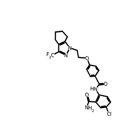 NC(=O)c1cc(Cl)ccc1NC(=O)c1ccc(OCCn2nc(C(F)(F)F)c3c2CCCC3)cc1